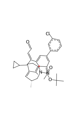 C/N=C1/C=C(c2cccc(Cl)c2)C=C(/C(=C\C=O)CC2CC2)/C1=C(C)\C1=C/[C@@H](C)CN(C(=O)OC(C)(C)C)CCC1